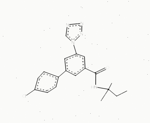 CCC(C)(C)NC(=O)c1cc(-c2ccc(Cl)cc2)cc(-n2cnnn2)c1